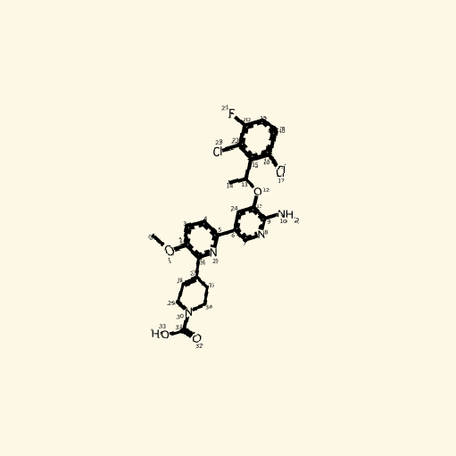 COc1ccc(-c2cnc(N)c(OC(C)c3c(Cl)ccc(F)c3Cl)c2)nc1C1=CCN(C(=O)O)CC1